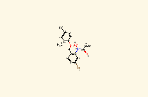 CCc1ccc(OCc2ccc(Br)cc2N(O)C(=O)NC)c(C)c1